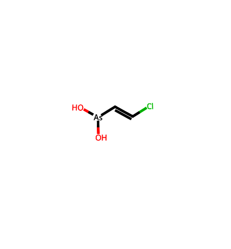 O[As](O)/C=C/Cl